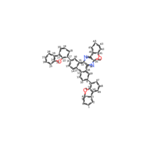 c1ccc2c(c1)oc1c(-c3ccc4c5ccc(-c6cccc7c6oc6ccccc67)cc5c5nc6c(nc5c4c3)oc3ccccc36)cccc12